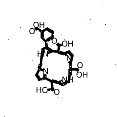 O=C(O)c1cccc(-c2cc3cc4nc(c(C(=O)O)c5ccc([nH]5)c(C(=O)O)c5nc(c(C(=O)O)c2[nH]3)C=C5)C=C4)c1